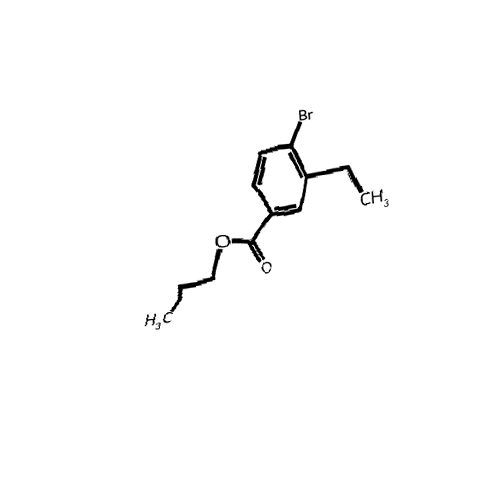 CCCOC(=O)c1ccc(Br)c(CC)c1